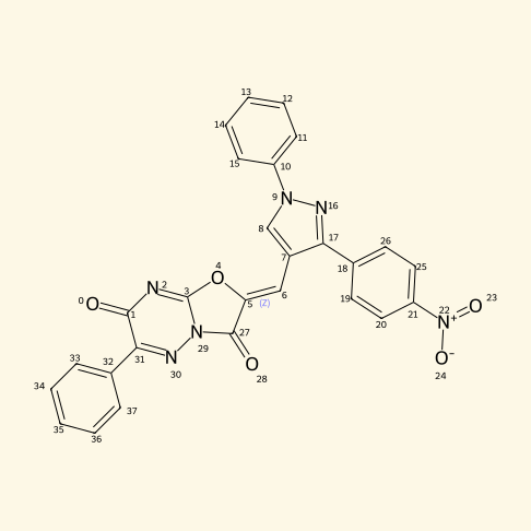 O=c1nc2o/c(=C\c3cn(-c4ccccc4)nc3-c3ccc([N+](=O)[O-])cc3)c(=O)n2nc1-c1ccccc1